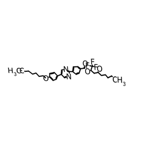 CCCCCCCCOc1ccc(-c2cnc(-c3ccc(C(=O)OC(CC(=O)CCCCC)C(F)(F)F)cc3)nc2)cc1